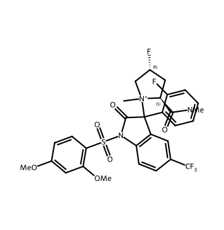 CNC(=O)[C@@H]1C[C@@H](F)C[N+]1(C)C1(c2ccccc2F)C(=O)N(S(=O)(=O)c2ccc(OC)cc2OC)c2ccc(C(F)(F)F)cc21